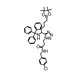 CC1(C)OB(CCCCC(NC(c2ccccc2)(c2ccccc2)c2ccccc2)c2nnnn2CCC(=O)NCc2ccc(Cl)cc2)OC1(C)C